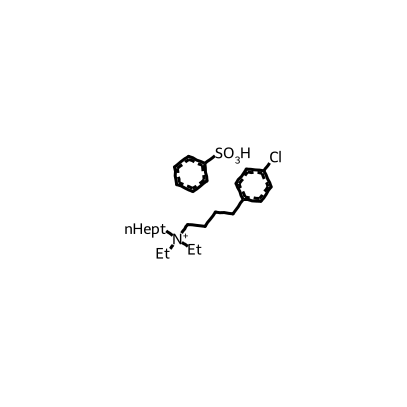 CCCCCCC[N+](CC)(CC)CCCCc1ccc(Cl)cc1.O=S(=O)(O)c1ccccc1